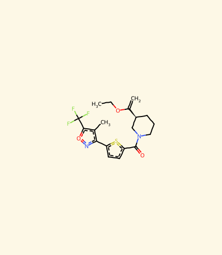 C=C(OCC)[C@H]1CCCN(C(=O)c2ccc(-c3noc(C(F)(F)F)c3C)s2)C1